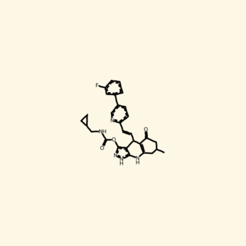 CC1CC(=O)C2=C(C1)Nc1[nH]nc(OC(=O)NCC3CC3)c1C2/C=C/c1ccc(-c2cccc(F)c2)cn1